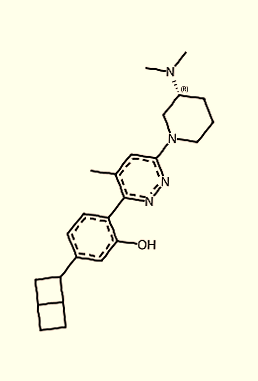 Cc1cc(N2CCC[C@@H](N(C)C)C2)nnc1-c1ccc(C2CC3CCC32)cc1O